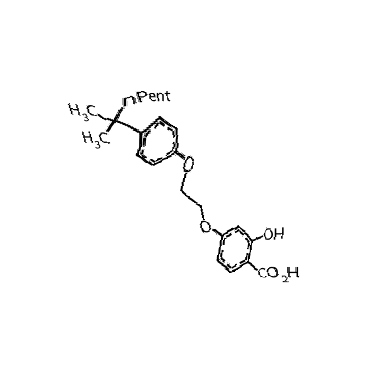 CCCCCC(C)(C)c1ccc(OCCOc2ccc(C(=O)O)c(O)c2)cc1